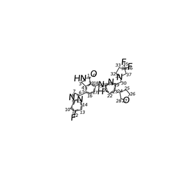 O=C1NCc2c(-c3cnc4cc(F)ccn34)ccc(Nc3ccc([C@@H]4CCOC4)c(CN4CCC(F)(F)C4)n3)c21